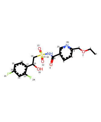 CCOCc1ccc(C(=O)NS(=O)(=O)CC(O)c2ccc(F)cc2F)cn1